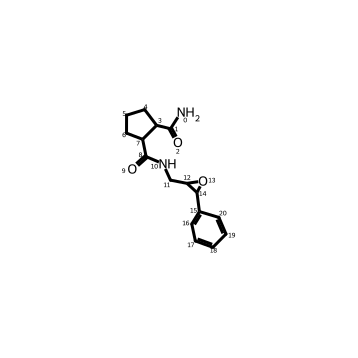 NC(=O)C1CCCC1C(=O)NCC1OC1c1ccccc1